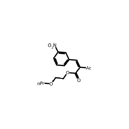 CCCOCCOC(=O)C(=Cc1cccc([N+](=O)[O-])c1)C(C)=O